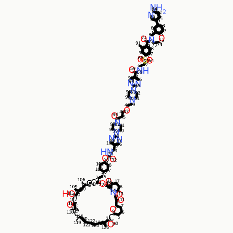 CO[C@H]1CC2CCCC(O2)C(=O)C(=O)N2CCCC[C@H]2C(=O)O[C@H](CC[C@H]2CC[C@H](OC(=O)NCc3cnc(N4CCN(C(=O)CCOCCN5CCN(c6ncc(C(=O)NCCS(=O)(=O)c7ccc(C(=O)N8CCOc9ccc(-c%10ccc(N)nc%10)cc9C8)c(C)c7)cn6)CC5)CC4)nc3)CC2)CC[C@H](C)/C=C(\C)[C@@H](O)CC(=O)[C@H](C)C[C@H](C)/C=C/C=C/C=C/1C